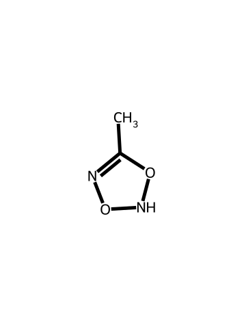 CC1=NONO1